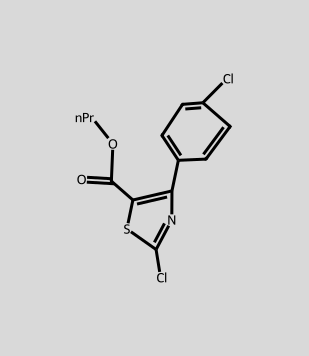 CCCOC(=O)c1sc(Cl)nc1-c1ccc(Cl)cc1